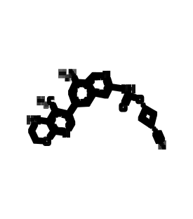 Cc1c(-c2cc(N)c3cnc(NC(=O)O[C@H]4C[C@@H](C#N)C4)cc3c2)cnc2c1NCCO2